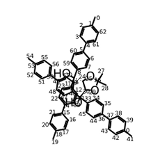 Cc1ccc(-c2ccc(C(O)(c3ccc(-c4ccc(C)cc4)cc3)[C@@H]3OC(C)(C)O[C@H]3C(O)(c3ccc(-c4ccc(C)cc4)cc3)c3ccc(-c4ccc(C)cc4)cc3)cc2)cc1